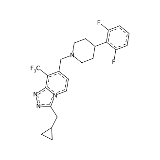 Fc1cccc(F)c1C1CCN(Cc2ccn3c(CC4CC4)nnc3c2C(F)(F)F)CC1